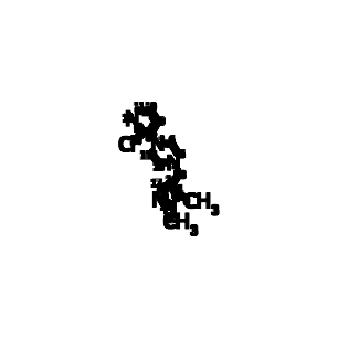 Cc1c(CN2CCN(c3cccnc3Cl)CC2)cnn1C